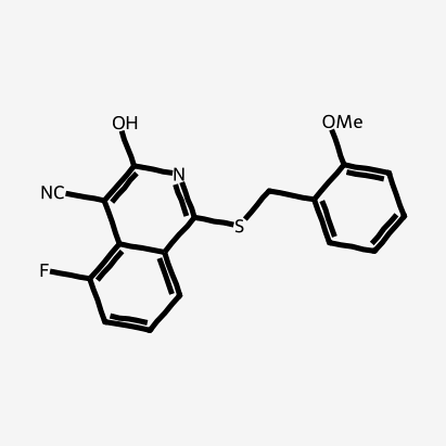 COc1ccccc1CSc1nc(O)c(C#N)c2c(F)cccc12